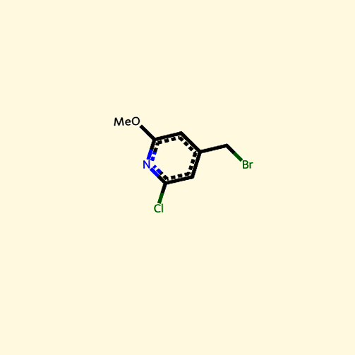 COc1cc(CBr)cc(Cl)n1